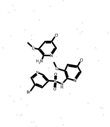 COc1cc(Cl)cnc1N.COc1cc(Cl)cnc1NS(=O)(=O)c1cncc(Br)c1